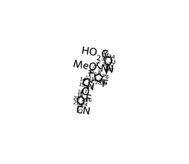 COC(C)Cn1c(Cc2cc(F)c(-c3cccc(OCc4ccc(C#N)cc4F)n3)cc2F)nc2ccc(C(=O)O)cc21